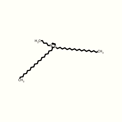 CCCCCCCCCCCCCCCCCCCc1n(CCCCCCCCCCCCCCCCCC)cc[n+]1CCCCC